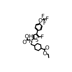 CCOC(=O)C1CCC(CN(C(=O)O)c2cc(-c3ccc(OC(F)(F)F)cc3)c(F)s2)CC1